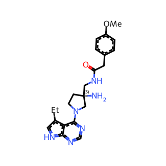 CCc1c[nH]c2ncnc(N3CC[C@](N)(CNC(=O)Cc4ccc(OC)cc4)C3)c12